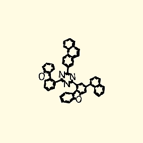 c1ccc2c(-c3cc(-c4nc(-c5ccc6c(ccc7ccccc76)c5)nc(-c5cccc6oc7ccccc7c56)n4)c4c(c3)oc3ccccc34)cccc2c1